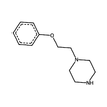 [c]1ccc(OCCN2CCNCC2)cc1